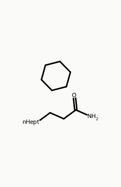 C1CCCCC1.CCCCCCCCCC(N)=O